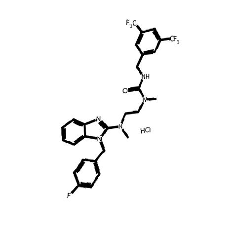 CN(CCN(C)c1nc2ccccc2n1Cc1ccc(F)cc1)C(=O)NCc1cc(C(F)(F)F)cc(C(F)(F)F)c1.Cl